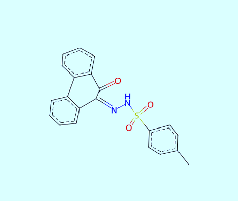 Cc1ccc(S(=O)(=O)NN=C2C(=O)c3ccccc3-c3ccccc32)cc1